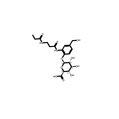 CCC(=O)NCCC(=O)Nc1cc(CO)ccc1O[C@@H]1O[C@H](C(=O)O)[C@@H](O)[C@H](O)[C@H]1O